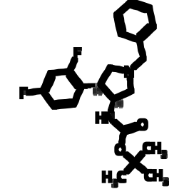 CC(C)(C)OC(=O)N[C@@H]1CN(Cc2ccccc2)C[C@H]1c1ccc(F)cc1F